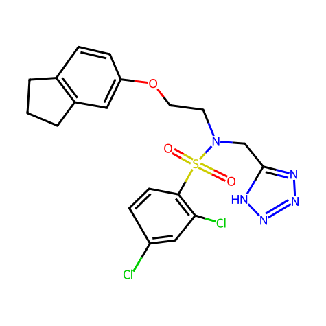 O=S(=O)(c1ccc(Cl)cc1Cl)N(CCOc1ccc2c(c1)CCC2)Cc1nnn[nH]1